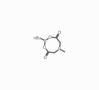 CCCCB1OC(=O)CN(C)CC(=O)O1